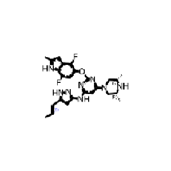 C/C=C/c1cc(Nc2cc(N3C[C@@H](C)N[C@@H](C)C3)nc(Oc3cc(F)c4[nH]c(C)cc4c3F)n2)n[nH]1